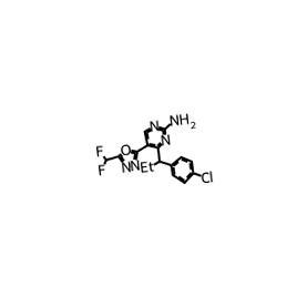 CCC(c1ccc(Cl)cc1)c1nc(N)ncc1-c1nnc(C(F)F)o1